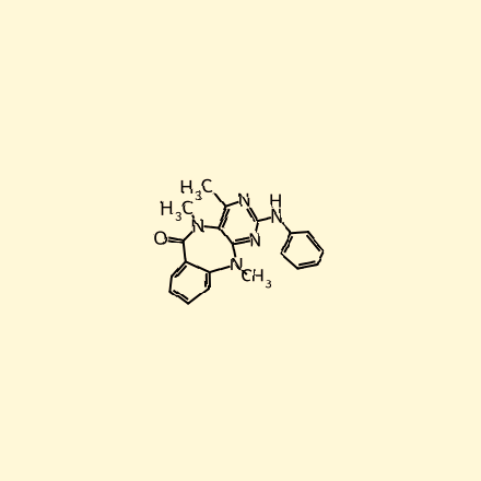 Cc1nc(Nc2ccccc2)nc2c1N(C)C(=O)c1ccccc1N2C